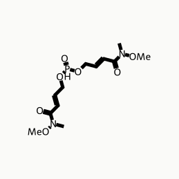 CON(C)C(=O)C=CCO[PH](=O)OCC=CC(=O)N(C)OC